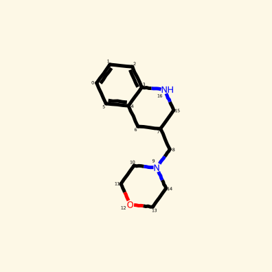 c1ccc2c(c1)CC(CN1CCOCC1)CN2